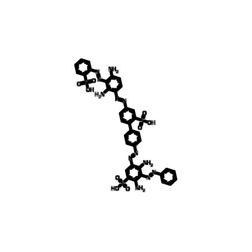 Nc1ccc(N=Nc2ccc(-c3ccc(N=Nc4cc(S(=O)(=O)O)c(N)c(N=Nc5ccccc5)c4N)cc3)c(S(=O)(=O)O)c2)c(N)c1N=Nc1ccccc1S(=O)(=O)O